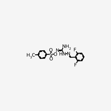 Cc1ccc(S(=O)(=O)ON=C(N)NN=Cc2c(F)cccc2F)cc1